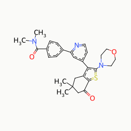 CN(C)C(=O)c1ccc(-c2cc(-c3c(N4CCOCC4)sc4c3CC(C)(C)CC4=O)ccn2)cc1